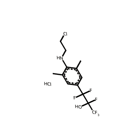 Cc1cc(C(F)(F)C(O)(F)C(F)(F)F)cc(C)c1NCCCl.Cl